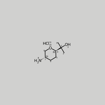 CC(C)(O)[C@H]1CC[C@H](N)CO1.Cl